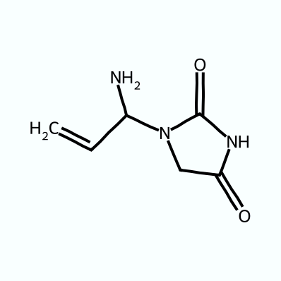 C=CC(N)N1CC(=O)NC1=O